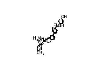 CN1CCN(c2cc(N3CCc4ccc(-c5ccc(C(=O)N[C@H]6CC[C@H](O)CC6)nc5)cc4C3)nc(N)n2)CC1